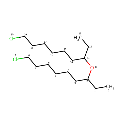 CCC(CCCCCCCl)OC(CC)CCCCCCCl